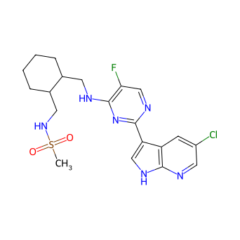 CS(=O)(=O)NCC1CCCCC1CNc1nc(-c2c[nH]c3ncc(Cl)cc23)ncc1F